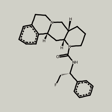 O=C(N[C@@H](CF)c1ccccc1)N1CCC[C@H]2CN3CCc4ccccc4[C@H]3C[C@H]21